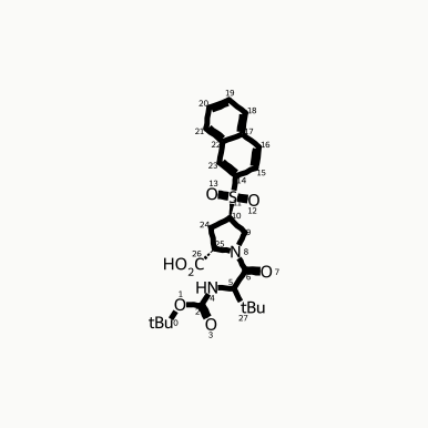 CC(C)(C)OC(=O)NC(C(=O)N1C[C@H](S(=O)(=O)c2ccc3ccccc3c2)C[C@H]1C(=O)O)C(C)(C)C